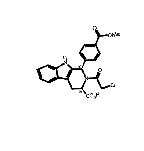 COC(=O)c1ccc([C@@H]2c3[nH]c4ccccc4c3C[C@H](C(=O)O)N2C(=O)CCl)cc1